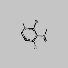 C=[N+](C)c1c(Cl)ccc(C)c1CC